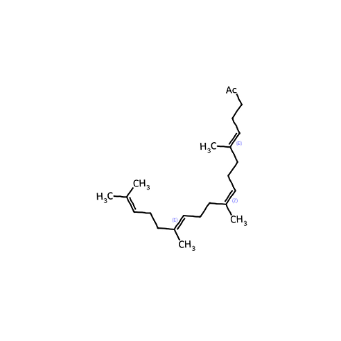 CC(=O)CC/C=C(\C)CC/C=C(/C)CC/C=C(\C)CCC=C(C)C